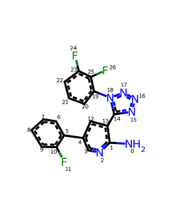 Nc1ncc(-c2ccccc2F)cc1-c1nnnn1-c1cccc(F)c1F